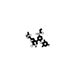 C=CC(=O)Nc1ccc(Oc2c(C)cc(F)cc2C)c(-c2cn(C)c(=O)c3sc(-c4nnc(C)o4)cc23)c1